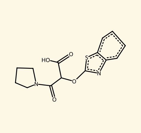 O=C(O)C(Oc1nc2ccccc2s1)C(=O)N1CCCC1